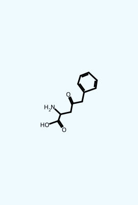 NC(CC(=O)Cc1ccccc1)C(=O)O